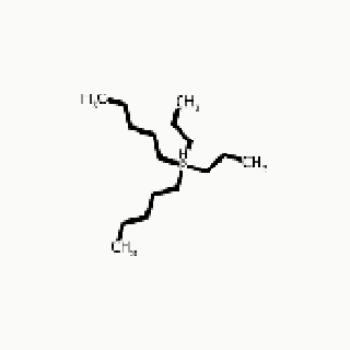 CCCCC[PH](CCC)(CCC)CCCCC